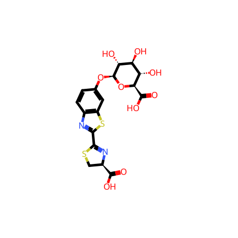 O=C(O)[C@H]1O[C@@H](Oc2ccc3nc(C4=N[C@@H](C(=O)O)CS4)sc3c2)[C@H](O)[C@@H](O)[C@@H]1O